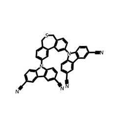 N#Cc1ccc2c(c1)c1cc(C#N)ccc1n2-c1ccc2c(c1)-c1cc(-n3c4ccc(C#N)cc4c4cc(C#N)ccc43)ccc1CSC2